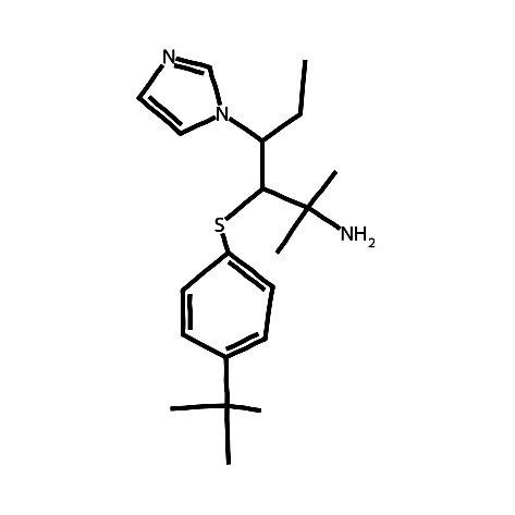 CCC(C(Sc1ccc(C(C)(C)C)cc1)C(C)(C)N)n1ccnc1